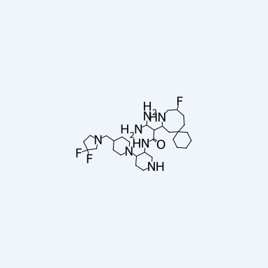 NC(N)C(C(=O)NC1CNCCC1N1CCC(CN2CCC(F)(F)C2)CC1)C1CC2(CCCCC2)CCC(F)CN1